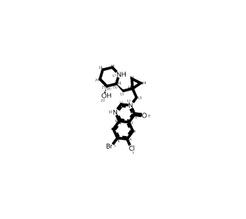 O=c1c2cc(Cl)c(Br)cc2ncn1CC1(C[C@@H]2NCCC[C@H]2O)CC1